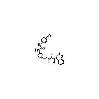 Cc1cc(NC(=O)NCCN2CCC(NC(=O)Nc3ccc(C(C)C)cc3)C2)c2ccccc2n1